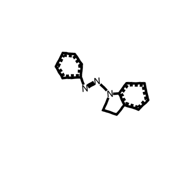 c1ccc(/N=N/N2CCc3ccccc32)cc1